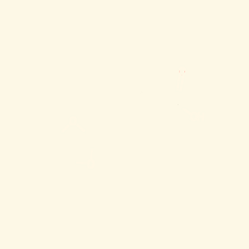 O=C(O)c1ccc(C2OCCO2)cc1